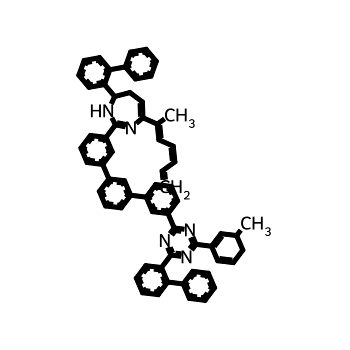 C=C/C=C\C=C(/C)C1=CCC(c2ccccc2-c2ccccc2)NC(c2cccc(-c3cccc(-c4cccc(-c5nc(C6=CC(C)CC=C6)nc(-c6ccccc6-c6ccccc6)n5)c4)c3)c2)=N1